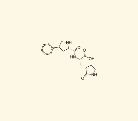 O=C1NCC[C@H]1C[C@H](NC(=O)[C@@H]1C[C@@H](c2ccccc2)CN1)C(=O)O